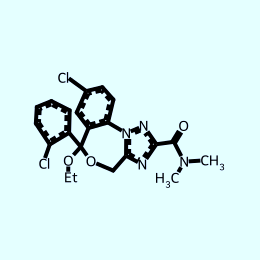 CCOC1(c2ccccc2Cl)OCc2nc(C(=O)N(C)C)nn2-c2ccc(Cl)cc21